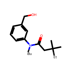 CCC(C)N(C(=O)CC(C)(C)CC)c1cccc(CO)c1